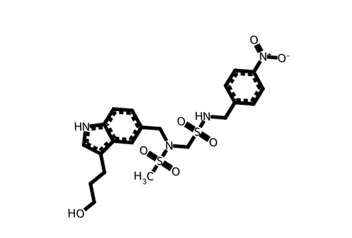 CS(=O)(=O)N(Cc1ccc2[nH]cc(CCCO)c2c1)CS(=O)(=O)NCc1ccc([N+](=O)[O-])cc1